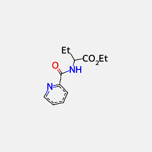 CCOC(=O)C(CC)NC(=O)c1ccccn1